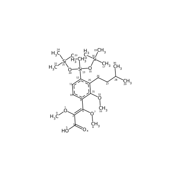 COC(C(=O)O)=C(OC)c1ccc([Si](C)(O[Si](C)(C)C)O[Si](C)(C)C)c(CCC(C)C)c1OC